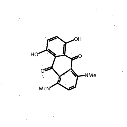 CNc1ccc(NC)c2c1C(=O)c1c(O)ccc(O)c1C2=O